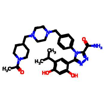 CC(=O)N1CCC(CN2CCN(Cc3ccc(-n4c(C(N)=O)nnc4-c4cc(C(C)C)c(O)cc4O)cc3)CC2)CC1